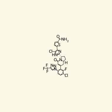 NC(=O)c1ccc(-c2nc([C@@H]3CC[C@H]4CC(c5c(-n6cc(C(F)(F)F)nn6)ccc(Cl)c5F)=CC(=O)N43)[nH]c2Cl)s1